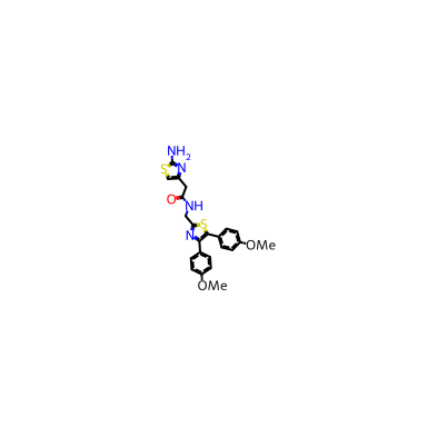 COc1ccc(-c2nc(CNC(=O)Cc3csc(N)n3)sc2-c2ccc(OC)cc2)cc1